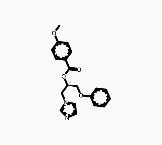 COc1ccc(C(=O)O[C@@H](COc2ccccc2)Cn2ccnc2)cc1